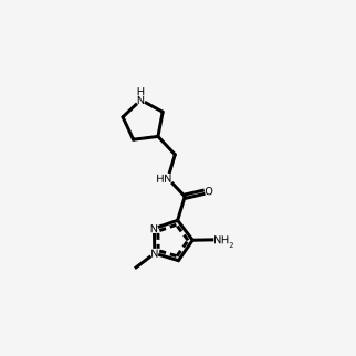 Cn1cc(N)c(C(=O)NCC2CCNC2)n1